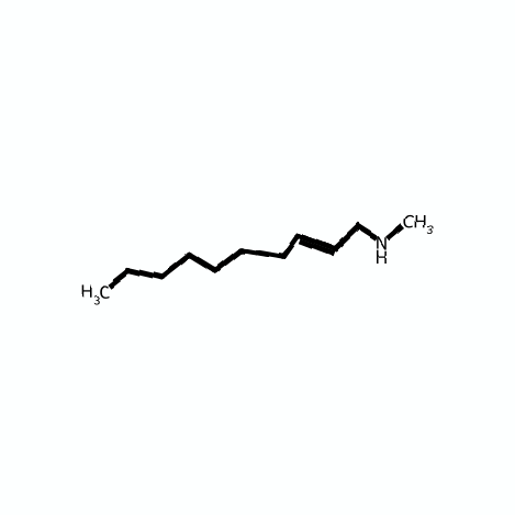 CCCCCCC/C=C/CNC